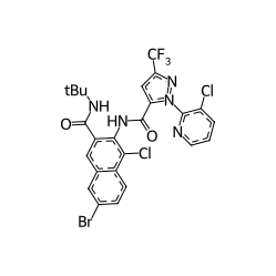 CC(C)(C)NC(=O)c1cc2cc(Br)ccc2c(Cl)c1NC(=O)c1cc(C(F)(F)F)nn1-c1ncccc1Cl